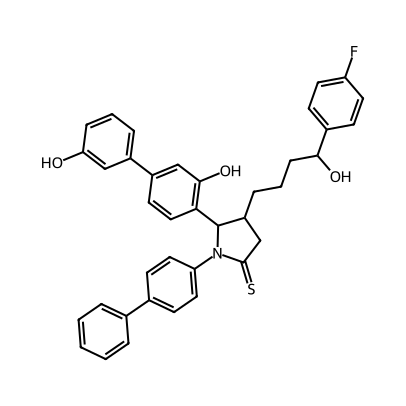 Oc1cccc(-c2ccc(C3C(CCCC(O)c4ccc(F)cc4)CC(=S)N3c3ccc(-c4ccccc4)cc3)c(O)c2)c1